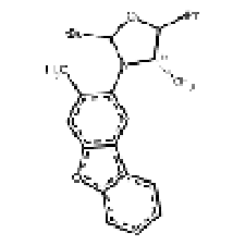 Cc1cc2oc3ccccc3c2cc1N1C(C(C)(C)C)OC(C(C)C)[C@@H]1C